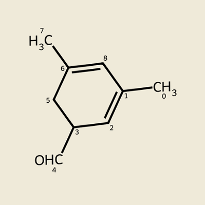 CC1=CC(C=O)CC(C)=C1